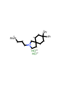 CCCC1(CCC)CCC2(CCN(CCCNC)C2)CC1.Cl.Cl